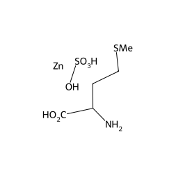 CSCCC(N)C(=O)O.O=S(=O)(O)O.[Zn]